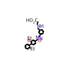 CCOc1cc(-c2nc(-c3cccc(CNCCC(=O)O)c3)no2)ccc1-c1ccccc1CC